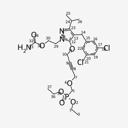 CCOP(=O)(COCC#CCOc1c(Cc2cc(Cl)cc(Cl)c2)c(C(C)C)nn1CCOC(N)=O)OCC